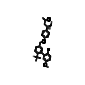 CC[C@H](CC(C)=O)c1ccc(OCc2ccc(C(C)(C)C)c(-c3cc(OC)ccc3F)c2)cc1